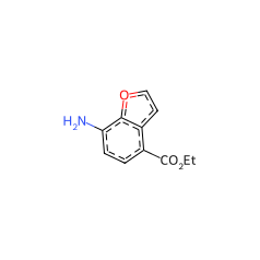 CCOC(=O)c1ccc(N)c2occc12